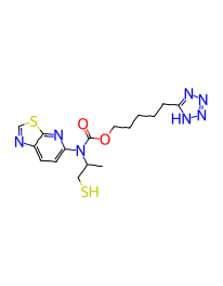 CC(CS)N(C(=O)OCCCCCc1nnn[nH]1)c1ccc2ncsc2n1